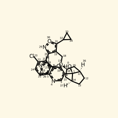 O[C@@]1(c2cnc3nn[nH]c3c2)[C@@H]2CC[C@H]1C[C@@H](OCc1c(-c3c(Cl)cccc3Cl)noc1C1CC1)C2